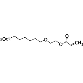 C=CC(=O)OCCOCCCCCCCCCCCCCC